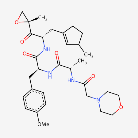 COc1ccc(C[C@H](NC(=O)[C@H](C)NC(=O)CN2CCOCC2)C(=O)N[C@@H](CC2=CC(C)CC2)C(=O)[C@@]2(C)CO2)cc1